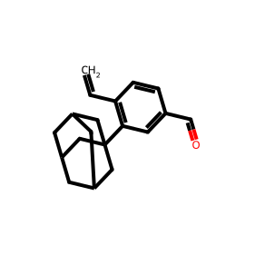 C=Cc1ccc(C=O)cc1C12CC3CC(CC(C3)C1)C2